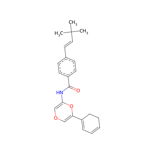 CC(C)(C)C=Cc1ccc(C(=O)NC2=COC=C(C3=CC=CCC3)O2)cc1